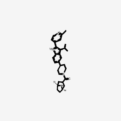 Cc1cc(-c2[nH]c3ccc(C4CCN(C(=O)C5C[C@H]6CC[C@@H](C5)N6)CC4)cc3c2C(C)C)ccn1